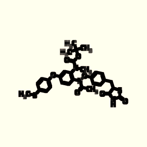 CSc1ccc(Oc2ccc(N(Oc3ccc(CC4SC(=O)NC4=O)cc3)C(C)=O)c(N(C)C(=O)OC(C)(C)C)c2)cc1